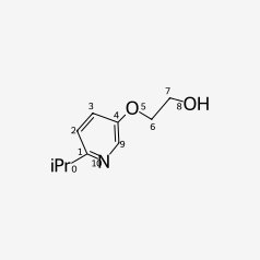 CC(C)c1ccc(OCCO)cn1